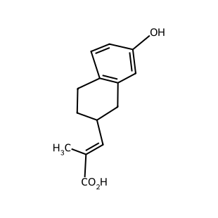 CC(=CC1CCc2ccc(O)cc2C1)C(=O)O